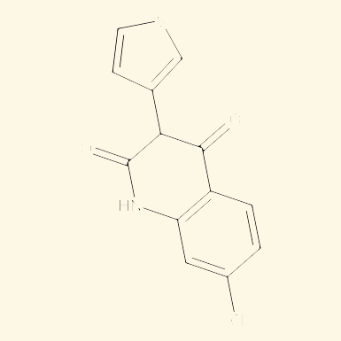 O=C1Nc2cc(Cl)ccc2C(=O)C1c1ccsc1